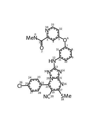 CNC(=O)c1cc(Oc2cccc(Nc3nc4nc(SC)c(C#N)c(-c5ccc(Cl)cc5)n4n3)c2)ccn1